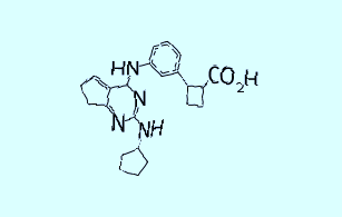 O=C(O)C1CCC1c1cccc(NC2N=C(NC3CCCC3)N=C3CCC=C32)c1